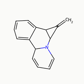 C=C1C2c3ccccc3C3C=CC=CN3C12